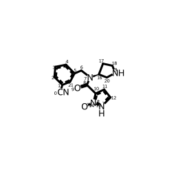 N#Cc1cccc(CN(C(=O)c2cc[nH][n+]2[O-])[C@H]2CCNC2)c1